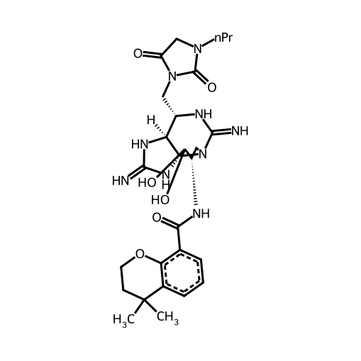 CCCN1CC(=O)N(C[C@@H]2NC(=N)N3C[C@H](NC(=O)c4cccc5c4OCCC5(C)C)C(O)(O)[C@@]34NC(=N)N[C@@H]24)C1=O